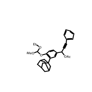 CCOC(OC)Oc1ccc(C(C#Cc2ccccc2)OC(C)=O)cc1C12CC3CC(CC(C3)C1)C2